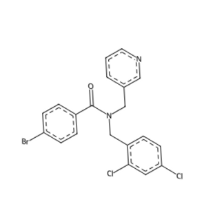 O=C(c1ccc(Br)cc1)N(Cc1cccnc1)Cc1ccc(Cl)cc1Cl